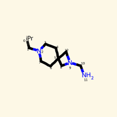 CC(C)CN1CCC2(CC1)CN(CN)C2